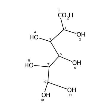 O=C(O)C(O)C(O)C(O)C(O)C(O)O